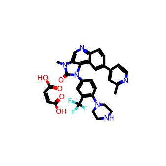 Cc1cc(-c2ccc3ncc4c(c3c2)n(-c2ccc(N3CCNCC3)c(C(F)(F)F)c2)c(=O)n4C)ccn1.O=C(O)/C=C\C(=O)O